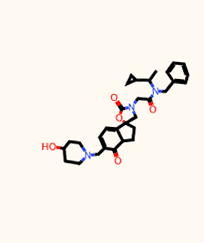 CC(C1CC1)N(Cc1ccccc1)C(=O)CN1CC2(CCC3C(=O)C(CN4CCC(O)CC4)=CC=C32)OC1=O